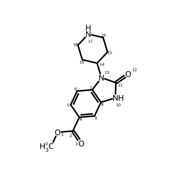 COC(=O)c1ccc2c(c1)[nH]c(=O)n2C1CCNCC1